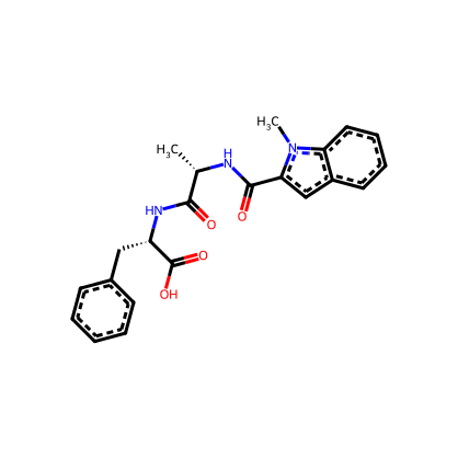 C[C@H](NC(=O)c1cc2ccccc2n1C)C(=O)N[C@@H](Cc1ccccc1)C(=O)O